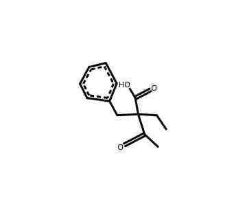 CCC(Cc1ccccc1)(C(C)=O)C(=O)O